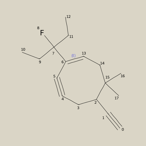 C#CC1CC#C/C(C(F)(CC)CC)=C\CC1(C)C